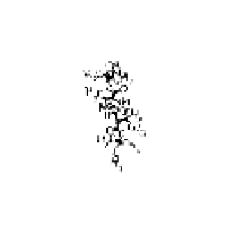 CC(C)[C@H](NP(=O)(O)N[C@H](C(=O)OC(C)(C)C)C(C)C)C(=O)OC(C)(C)C